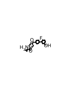 NC1(C(=O)N2CCN(C(=O)c3ccc(-c4cc(O)ccc4F)cc3)CC2)CC1